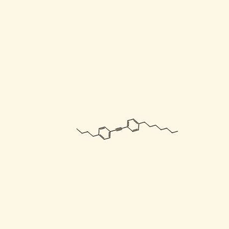 CCCCCCCc1ccc(C#Cc2ccc(CCCC)cc2)cc1